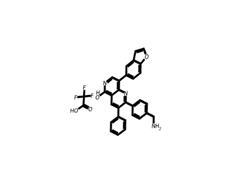 NCc1ccc(-c2nc3c(-c4ccc5occc5c4)cnc(O)c3cc2-c2ccccc2)cc1.O=C(O)C(F)(F)F